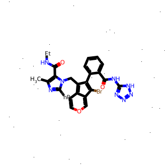 CCCc1nc(C)c(C(=O)NCC)n1Cc1c2ccocc-2c(Br)c1-c1ccccc1C(=O)Nc1nnn[nH]1